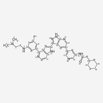 CN(C)CCNc1cc(F)cc(-c2nccc3[nH]c(-c4n[nH]c5ncc(-c6cncc(NC(=O)CC7CCCCC7)c6)cc45)cc23)c1